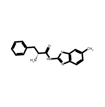 Cc1ccc2nc(NC(=O)[C@H](N)Cc3ccccc3)sc2c1